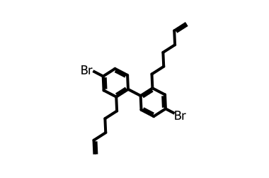 C=CCCCCc1cc(Br)ccc1-c1ccc(Br)cc1CCCC=C